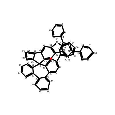 c1ccc(-c2cc(-c3ccc4c(c3)C3(c5ccccc5-c5ccccc5-4)c4ccccc4-c4cc5sc6ccccc6c5cc43)nc(-c3ccccc3)n2)cc1